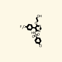 O=S(=O)(Nc1ncnc(OCCO)c1-c1ccc(C(F)(F)F)cc1)c1ccc(Cl)cc1